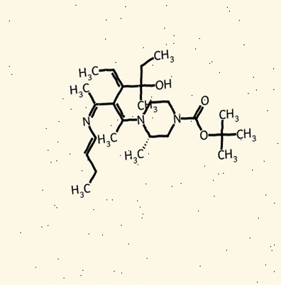 C\C=C(C(/C(C)=N\C=C\CC)=C(/C)N1CCN(C(=O)OC(C)(C)C)C[C@@H]1C)\C(C)(O)CC